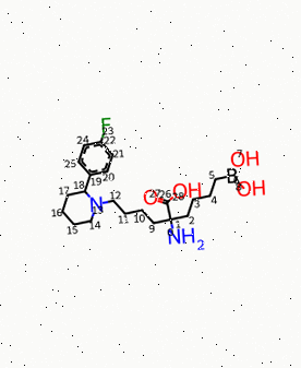 NC(CCCCB(O)O)(CCCCN1CCCCC1c1ccc(F)cc1)C(=O)O